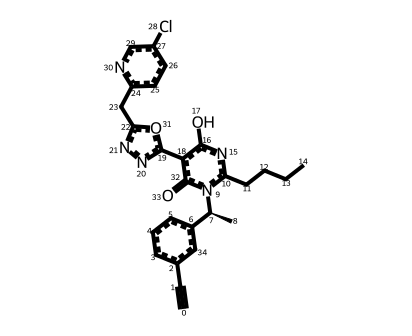 C#Cc1cccc([C@H](C)n2c(CCCC)nc(O)c(-c3nnc(Cc4ccc(Cl)cn4)o3)c2=O)c1